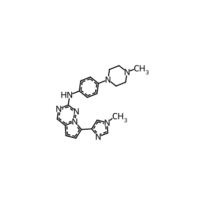 CN1CCN(c2ccc(Nc3ncc4ccc(-c5cn(C)cn5)n4n3)cc2)CC1